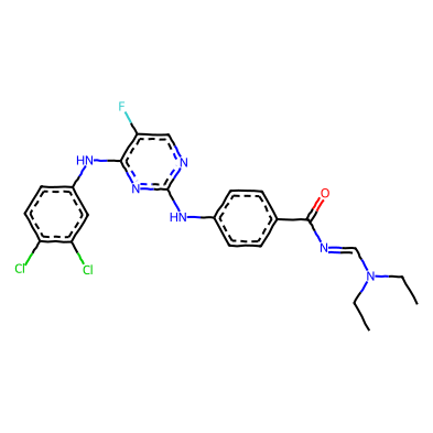 CCN(C=NC(=O)c1ccc(Nc2ncc(F)c(Nc3ccc(Cl)c(Cl)c3)n2)cc1)CC